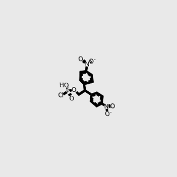 O=[N+]([O-])c1ccc(C(COP(=O)(O)Cl)c2ccc([N+](=O)[O-])cc2)cc1